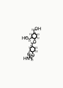 N=S(=O)(F)Oc1ccc(COc2ccc(CO)cc2CO)cc1